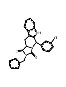 O=C1C2Cc3c([nH]c4ccccc34)C(c3cccc(Cl)c3)N2C(=S)N1Cc1ccccc1